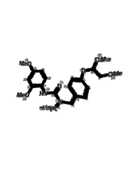 CCCCCCCN(Cc1ccc(OC(COC)OC)cc1)C(=O)Nc1ccc(OC)cc1OC